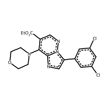 CCOC(=O)c1cnn2c(-c3cc(Cl)cc(Cl)c3)cnc2c1N1CCOCC1